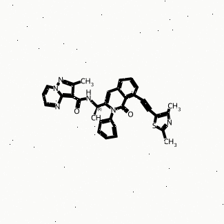 Cc1nc(C)c(C#Cc2cccc3cc([C@@H](C)NC(=O)c4c(C)nn5cccnc45)n(-c4ccccc4)c(=O)c23)s1